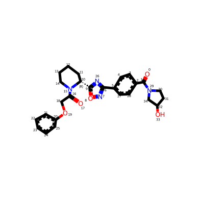 O=C(c1ccc(-c2noc([C@H]3CCCCN3C(=O)COc3ccccc3)n2)cc1)N1CCC(O)C1